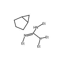 C1CC2CC2C1.CCN=C(NCC)N(CC)CC